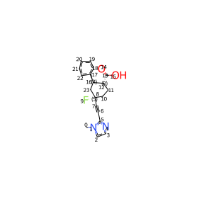 Cn1ccnc1C#C[C@]1(F)CC[C@@H](C(=O)O)[C@H](c2ccccc2)C1